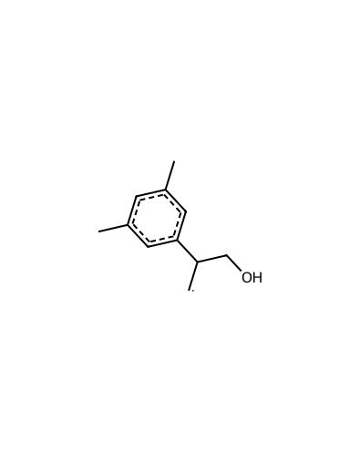 [CH2]C(CO)c1cc(C)cc(C)c1